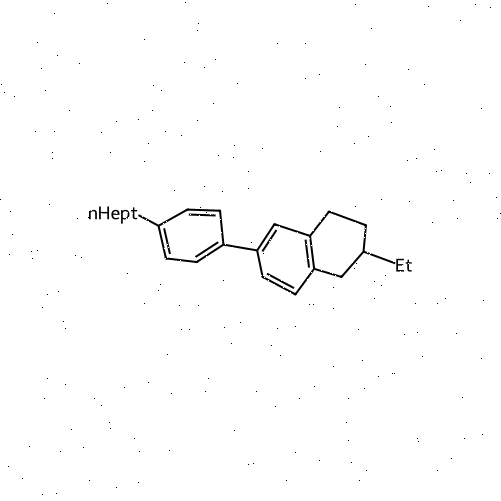 CCCCCCCc1ccc(-c2ccc3c(c2)CCC(CC)C3)cc1